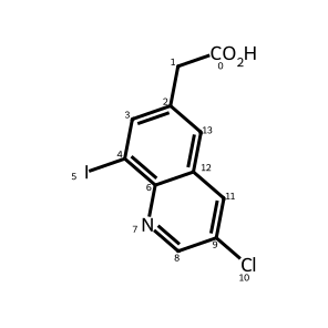 O=C(O)Cc1cc(I)c2ncc(Cl)cc2c1